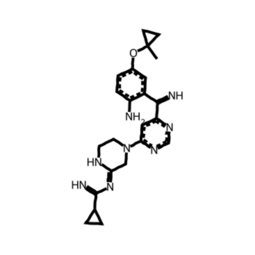 CC1(Oc2ccc(N)c(C(=N)c3cc(N4CCN/C(=N\C(=N)C5CC5)C4)ncn3)c2)CC1